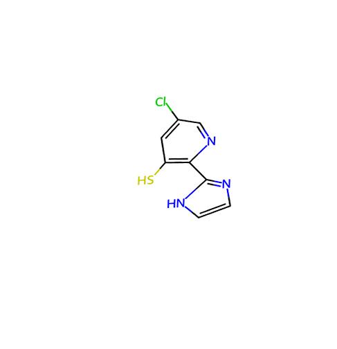 Sc1cc(Cl)cnc1-c1ncc[nH]1